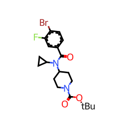 CC(C)(C)OC(=O)N1CCC(N(C(=O)c2ccc(Br)c(F)c2)C2CC2)CC1